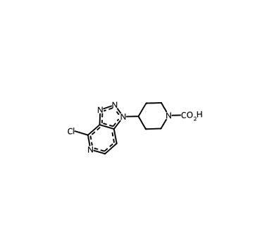 O=C(O)N1CCC(n2nnc3c(Cl)nccc32)CC1